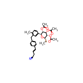 CS[C@H]1O[C@@H](c2ccc(C)c(Cc3ccc(C=CCC#N)cc3)c2)[C@H](OC(C)=O)[C@@H](OC(C)=O)[C@@H]1OC(C)=O